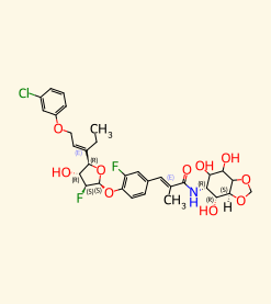 CC/C(=C\COc1cccc(Cl)c1)[C@H]1O[C@@H](Oc2ccc(/C=C(\C)C(=O)N[C@@H]3C(O)C(O)C4OCO[C@H]4[C@@H]3O)cc2F)[C@@H](F)[C@@H]1O